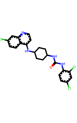 O=C(Nc1ccc(Cl)cc1Cl)NC1CCC(Nc2ccnc3cc(Cl)ccc23)CC1